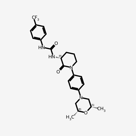 C[C@@H]1CN(c2ccc(N3CCC[C@@H](NC(=O)Nc4ccc(C(F)(F)F)cc4)C3=O)cc2)C[C@H](C)O1